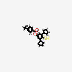 CC(C)(C)c1ccc(C(=O)Oc2cc(C3CCCC3)c(S)c(C3CCCC3)c2)cc1